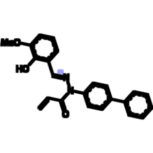 C=CC(=O)N(/N=C/c1cccc(OC)c1O)c1ccc(-c2ccccc2)cc1